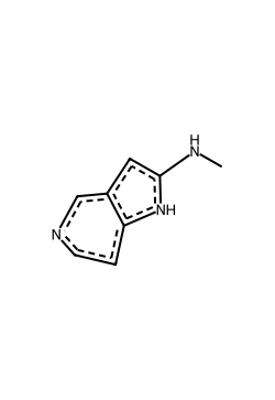 CNc1cc2cnccc2[nH]1